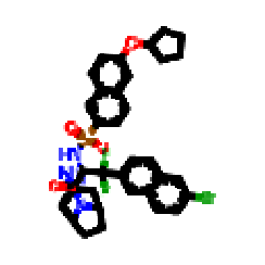 NC1CC2CCC(C1)N2C(=O)[C@H](NS(=O)(=O)c1ccc2cc(OC3CCCC3)ccc2c1)C(F)(F)c1ccc2cc(Br)ccc2c1